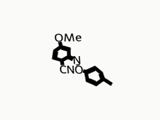 COC1=CC(=NOc2ccc(C)cc2)C(C#N)C=C1